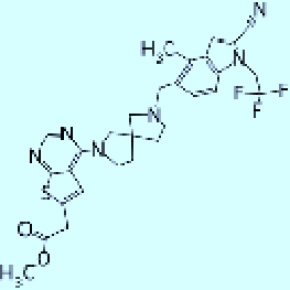 COC(=O)Cc1cc2c(N3CCC4(CCN(Cc5ccc6c(cc(C#N)n6CC(F)(F)F)c5C)C4)C3)ncnc2s1